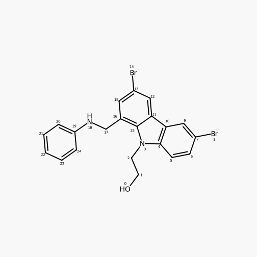 OCCn1c2ccc(Br)cc2c2cc(Br)cc(CNc3ccccc3)c21